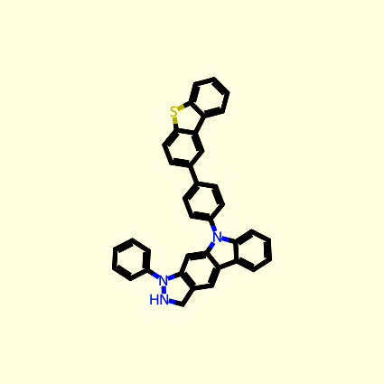 c1ccc(N2NCc3cc4c5ccccc5n(-c5ccc(-c6ccc7sc8ccccc8c7c6)cc5)c4cc32)cc1